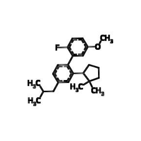 COc1ccc(F)c(-c2ccc(CC(C)C)cc2C2CCCC2(C)C)c1